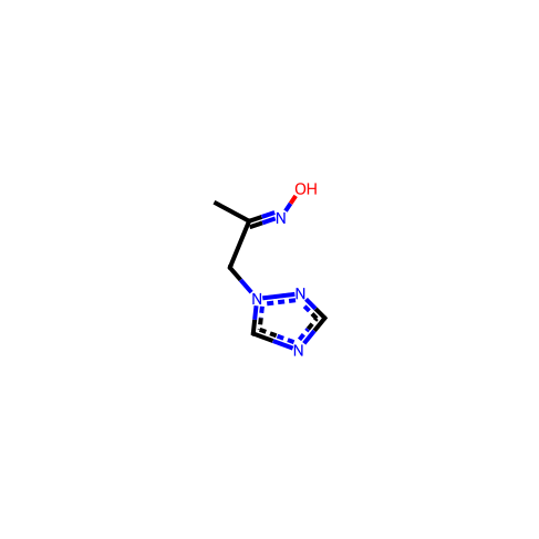 CC(Cn1cncn1)=NO